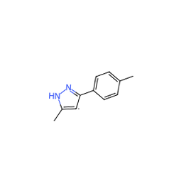 Cc1ccc(-c2[c]c(C)[nH]n2)cc1